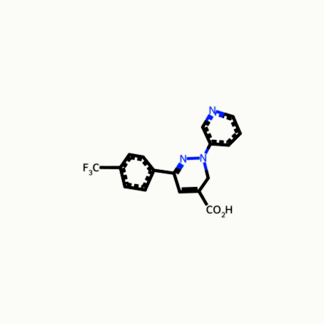 O=C(O)C1=CC(c2ccc(C(F)(F)F)cc2)=NN(c2cccnc2)C1